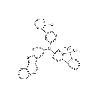 CC1(C)c2ccccc2-c2ccc(N(c3ccc4oc5ccccc5c4c3)c3ccc4sc5c6ccccc6ccc5c4c3)cc21